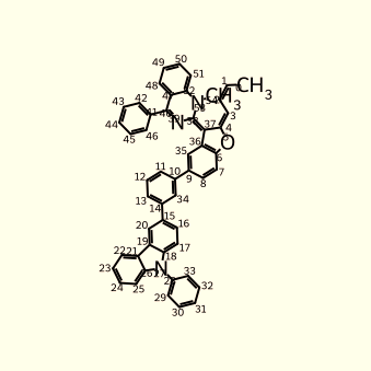 C\C=C/C=c1/oc2ccc(-c3cccc(-c4ccc5c(c4)c4ccccc4n5-c4ccccc4)c3)cc2/c1=C1\N=C(c2ccccc2)c2ccccc2N1C